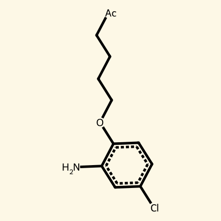 CC(=O)CCCCOc1ccc(Cl)cc1N